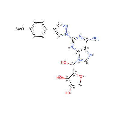 COc1ccc(-c2cnn(-c3nc(N)c4ncn(C(O)[C@@H]5OC[C@H](O)[C@H]5O)c4n3)c2)cc1